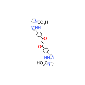 O=C(CCC(=O)c1ccc(-c2cnc([C@@H]3CCCN3C(=O)O)[nH]2)cc1)c1ccc(-c2cnc([C@@H]3CCCN3C(=O)O)[nH]2)cc1